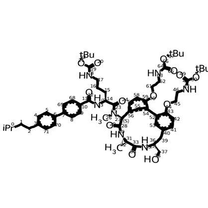 CC(C)CCc1ccc(-c2ccc(C(=O)N[C@@H](CCCNC(=O)OC(C)(C)C)C(=O)N(C)[C@@H]3C(=O)N[C@@H](C)C(=O)N[C@H](CO)Cc4ccc(OCCNC(=O)OC(C)(C)C)c(c4)-c4cc3ccc4OCCNC(=O)OC(C)(C)C)cc2)cc1